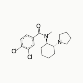 CN(C(=O)c1ccc(Cl)c(Cl)c1)[C@@H]1CCCC[C@H]1N1CCCC1